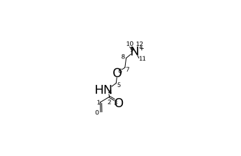 C=CC(=O)NCOCC[N+](C)(C)C